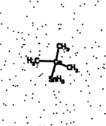 [CH3][Ge]([CH3])([CH3])[SnH3]